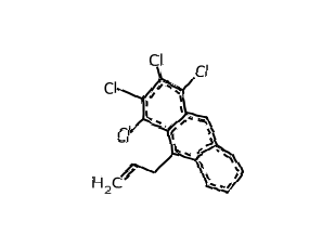 C=CCc1c2ccccc2cc2c(Cl)c(Cl)c(Cl)c(Cl)c12